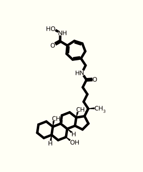 C[C@H](CCCC(=O)NCC1=CC=C(C(=O)NO)C=CC1)C1CCC2[C@H]3C(CC[C@@]21C)[C@@]1(C)CCCC[C@H]1C[C@@H]3O